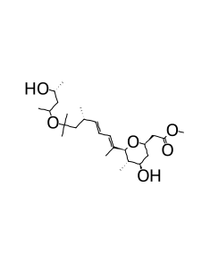 COC(=O)C[C@H]1C[C@@H](O)[C@H](C)[C@@H](/C(C)=C/C=C/[C@@H](C)CC(C)(C)OC(C)C[C@@H](C)O)O1